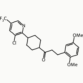 COc1ccc(OC)c(CCC(=O)C2CCC(c3ncc(C(F)(F)F)cc3Cl)CC2)c1